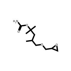 CC(COCC1CO1)CC(C)(C)OC(N)=O